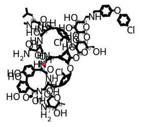 CN[C@H](CC(C)C)C(=O)N[C@H]1C(=O)N[C@@H](CC(N)=O)C(=O)N[C@H]2C(=O)N[C@H]3C(=O)N[C@H](C(=O)N[C@@H](C(=O)O)c4cc(O)cc(O)c4-c4cc3ccc4O)[C@H](OC3C[C@](C)(N)[C@@H](O)[C@H](C)O3)c3ccc(c(Cl)c3)Oc3cc2cc(c3O[C@@H]2O[C@H](CO)[C@@H](O[C@@H]3O[C@H](CNCc4ccc(Oc5ccc(Cl)cc5)cc4)[C@H](O)[C@H](O)[C@H]3O)[C@H](O)[C@H]2O)Oc2ccc(cc2Cl)[C@H]1O